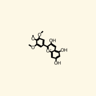 COc1cc(-c2[o+]c3cc(O)cc(O)c3cc2O)cc(OC)c1OC